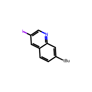 CC(C)(C)c1ccc2cc(I)cnc2c1